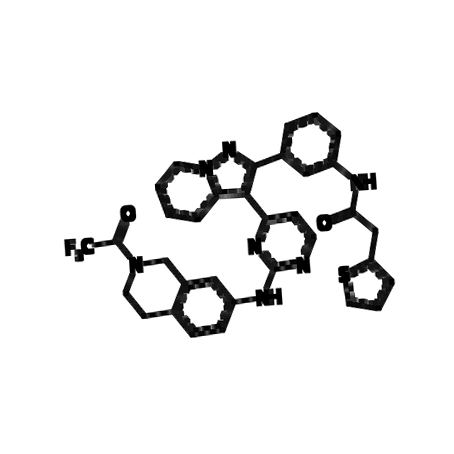 O=C(Cc1cccs1)Nc1cccc(-c2nn3ccccc3c2-c2ccnc(Nc3ccc4c(c3)CN(C(=O)C(F)(F)F)CC4)n2)c1